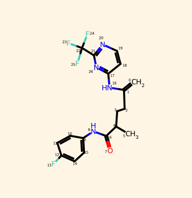 C=C(CCC(C)C(=O)Nc1ccc(F)cc1)Nc1ccnc(C(F)(F)F)n1